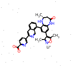 Cc1noc(C)c1-c1cc2c(c(-c3cccc4cc(-c5ccc(C(=O)[O-])nc5)ncc34)c1)N[C@H](C)CC(=O)N2.[Li+]